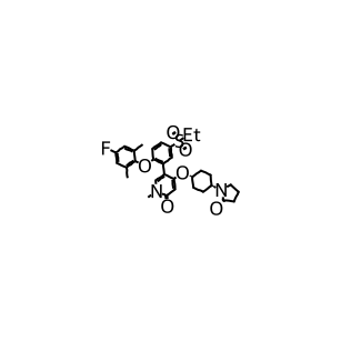 CCS(=O)(=O)c1ccc(Oc2c(C)cc(F)cc2C)c(-c2cn(C)c(=O)cc2O[C@H]2CC[C@H](N3CCCC3=O)CC2)c1